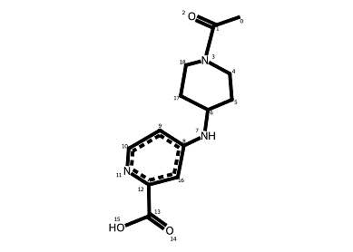 CC(=O)N1CCC(Nc2ccnc(C(=O)O)c2)CC1